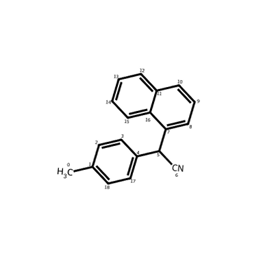 Cc1ccc(C(C#N)c2cccc3ccccc23)cc1